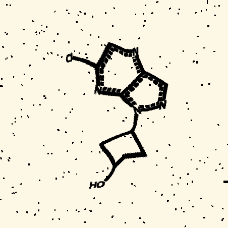 OC1CC(n2ncc3ncc(Cl)nc32)C1